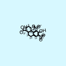 C[C@]1(C(=O)O)CCC[C@]2(C)c3c(cc([N+](=O)[O-])c(O)c3[N+](=O)[O-])CCC12